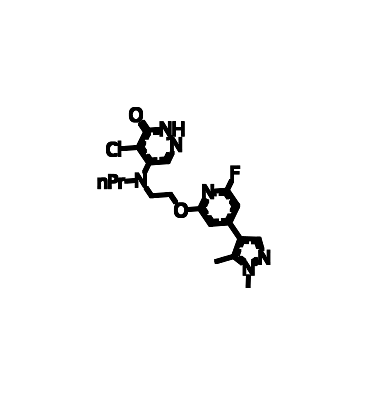 CCCN(CCOc1cc(-c2cnn(C)c2C)cc(F)n1)c1cn[nH]c(=O)c1Cl